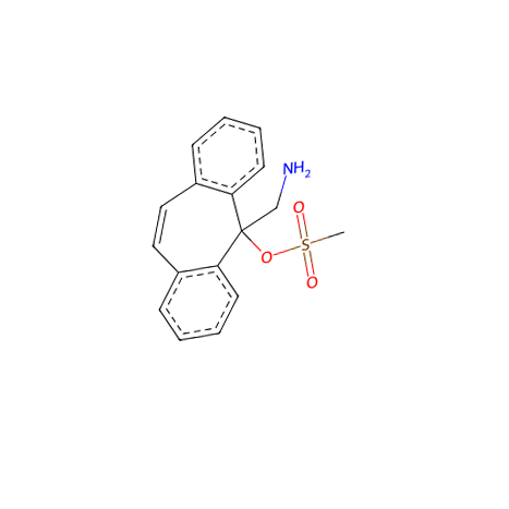 CS(=O)(=O)OC1(CN)c2ccccc2C=Cc2ccccc21